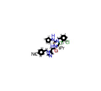 CC(C)[C@@H](CN(Cc1cccc(Cl)c1Cl)C(=S)NC1CCCC1)NC(=O)Cc1cncn1Cc1ccc(C#N)cc1